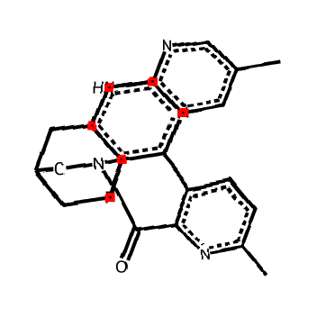 Cc1ccc(NC2CC3CCC2N(C(=O)c2nc(C)ccc2-c2ncccc2F)C3)nc1